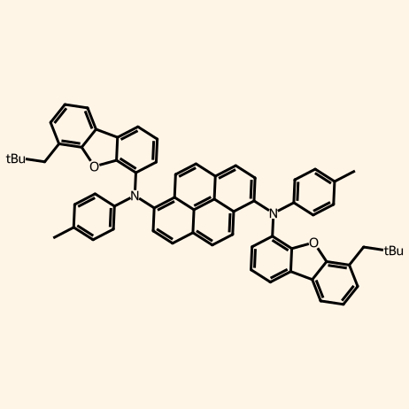 Cc1ccc(N(c2ccc3ccc4c(N(c5ccc(C)cc5)c5cccc6c5oc5c(CC(C)(C)C)cccc56)ccc5ccc2c3c54)c2cccc3c2oc2c(CC(C)(C)C)cccc23)cc1